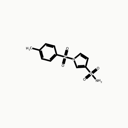 Cc1ccc(S(=O)(=O)n2ccc(S(N)(=O)=O)c2)cc1